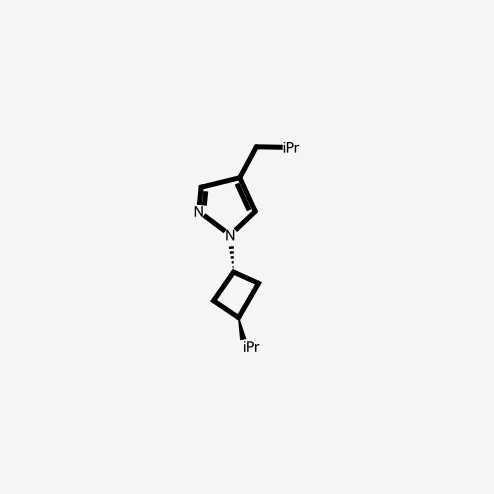 CC(C)Cc1cnn([C@H]2C[C@H](C(C)C)C2)c1